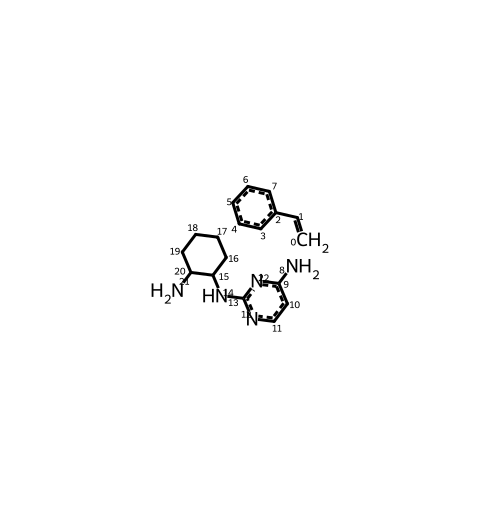 C=Cc1ccccc1.Nc1ccnc(NC2CCCCC2N)n1